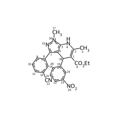 CCOC(=O)C1=C(C)Nc2c(c(-c3cccc(C#N)c3)nn2C)C1c1cccc([N+](=O)[O-])c1